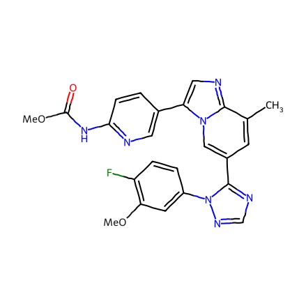 COC(=O)Nc1ccc(-c2cnc3c(C)cc(-c4ncnn4-c4ccc(F)c(OC)c4)cn23)cn1